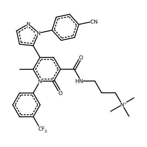 Cc1c(-c2ccnn2-c2ccc(C#N)cc2)cc(C(=O)NCCC[N+](C)(C)C)c(=O)n1-c1cccc(C(F)(F)F)c1